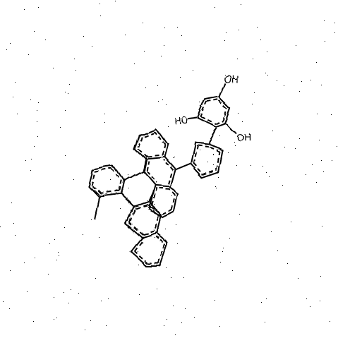 Cc1cc2ccccc2cc1-c1c(C)cccc1-c1c2ccccc2c(-c2cccc(-c3c(O)cc(O)cc3O)c2)c2ccccc12